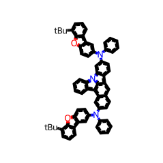 CC(C)(C)c1cccc2c1oc1ccc(N(c3ccccc3)c3ccc4cc5c6ccc(N(c7ccccc7)c7ccc8oc9c(C(C)(C)C)cccc9c8c7)cc6n6c7ccccc7c(c4c3)c56)cc12